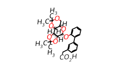 CC1(C)O[C@@H]2[C@H](O1)[C@@H](Oc1ccccc1-c1cccc(CC(=O)O)c1)O[C@@H]1COC(C)(C)O[C@@H]21